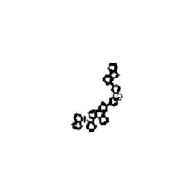 c1ccc2c(-n3c4ccccc4c4c5c6ccccc6c6cc(-c7ccc8oc9ccc(-c%10cccc%11c%10ccc%10ccccc%10%11)cc9c8c7)ccc6c5ccc43)cccc2c1